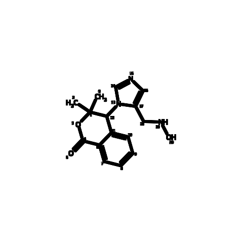 CC1(C)OC(=O)c2ccccc2C1n1cncc1CNO